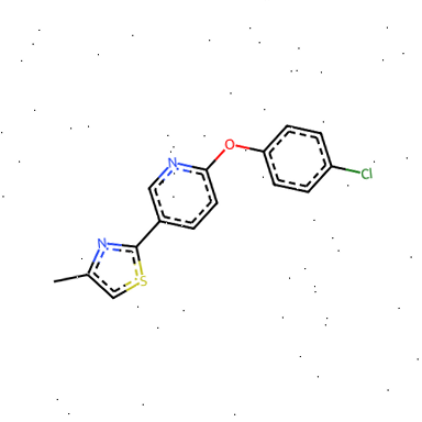 Cc1csc(-c2ccc(Oc3ccc(Cl)cc3)nc2)n1